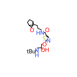 CC(C)(C)NCC(O)COc1ncc(C(=O)NCCCC2C(=O)C3CCC2C3)s1